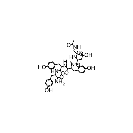 CC(=O)NCC(=O)NC(CC(=O)O)C(=O)N(C)C(Cc1ccc(O)cc1)C(=O)NC(Cc1ccc(O)cc1)C(=O)NC(Cc1ccc(O)cc1)C(N)=O